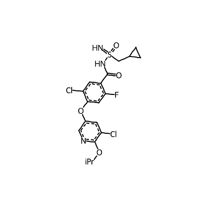 CC(C)Oc1ncc(Oc2cc(F)c(C(=O)NS(=N)(=O)CC3CC3)cc2Cl)cc1Cl